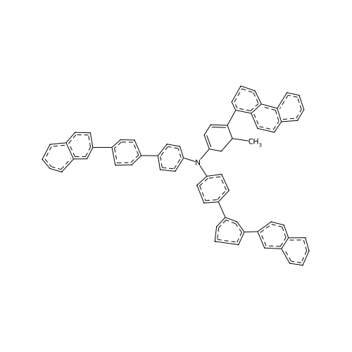 CC1CC(N(c2ccc(-c3ccc(-c4ccc5ccccc5c4)cc3)cc2)c2ccc(-c3cccc(-c4ccc5ccccc5c4)c3)cc2)=CC=C1c1cccc2c1ccc1ccccc12